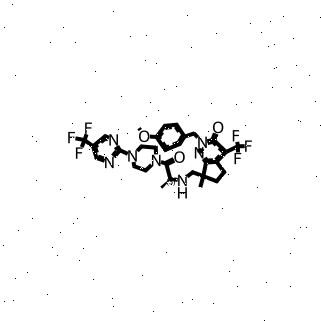 COc1ccc(Cn2nc3c(c(C(F)(F)F)c2=O)CCC3(C)CN[C@@H](C)C(=O)N2CCN(c3ncc(C(F)(F)F)cn3)CC2)cc1